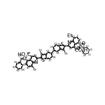 CCc1ccc(S(=O)(=O)C2CCCCC2)c2c(C(=O)O)cc(-c3sc4ccc(-c5ccc6sc(-c7cc(C(=O)O)c8c(O[C@@H](C)c9ccccc9)ccc(C)c8n7)c(C)c6c5)cc4c3C)nc12